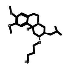 COc1cc2c(cc1OC)[C@H]1C[C@@H](OCCC[18F])[C@H](CC(C)C)CN1CC2